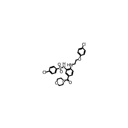 O=C(c1ccc(NCCOc2ccc(Cl)cc2)c(NS(=O)(=O)c2ccc(Cl)cc2)c1)N1CCOCC1